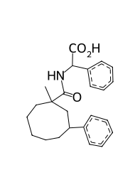 CC1(C(=O)NC(C(=O)O)c2ccccc2)CCCCCC(c2ccccc2)C1